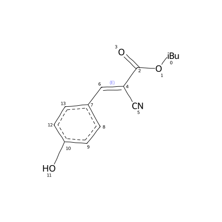 CCC(C)OC(=O)/C(C#N)=C/c1ccc(O)cc1